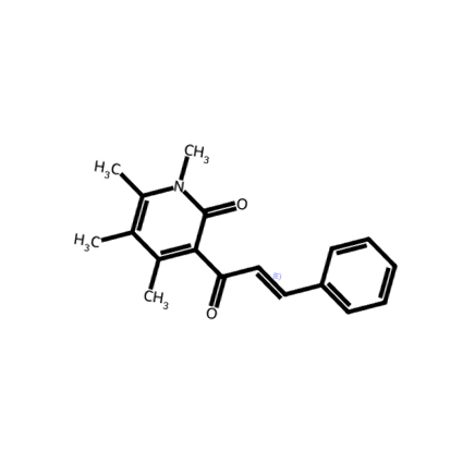 Cc1c(C)c(C)n(C)c(=O)c1C(=O)/C=C/c1ccccc1